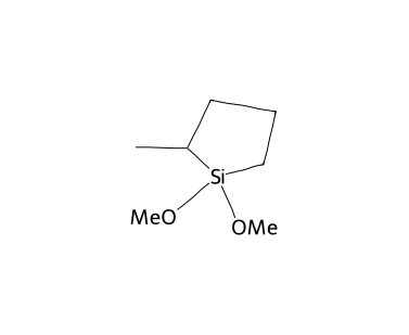 CO[Si]1(OC)CCCC1C